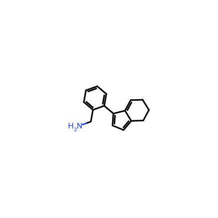 NCc1ccccc1C1=CC=C2CCCC=C21